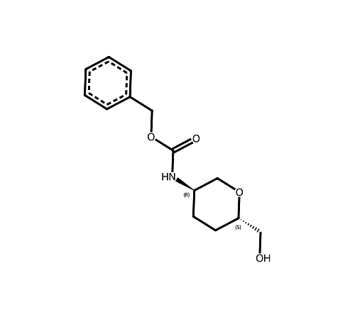 O=C(N[C@@H]1CC[C@@H](CO)OC1)OCc1ccccc1